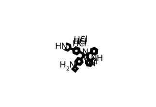 Cl.Cl.Cl.Cl.NC1(c2ccc(-c3c(-c4ccc(C5CCNCC5)cc4)nc4n3-c3cccnc3Nc3ccccc3-4)cc2)CCC1